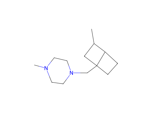 CC1CC2(CN3CCN(C)CC3)CCC12